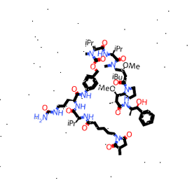 CC[C@H](C)[C@@H]([C@@H](CC(=O)N1CCC[C@H]1[C@H](OC)[C@@H](C)C(=O)N[C@H](C)[C@@H](O)c1ccccc1)OC)N(C)C(=O)[C@@H](NC(=O)C(C(C)C)N(C)C(=O)OCc1ccc(NC(=O)[C@H](CCCNC(N)=O)NC(=O)[C@@H](NC(=O)CCCCCN2C(=O)CC(C)C2=O)C(C)C)cc1)C(C)C